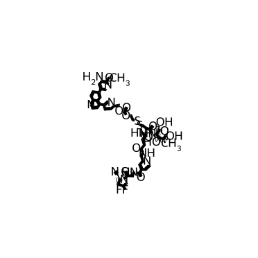 COc1ncc(-c2ccc3nccc(-c4ccc(COC(=O)OCCSSCC(NC(=O)CCC(=O)NCc5cc(C(=O)NCC(=O)N6CC(F)(F)C[C@H]6C#N)ccn5)C(=O)N[C@@H]5[C@@H](O)[C@H](C)C(O)O[C@H]5CO)nc4)c3c2)cc1N